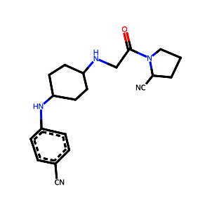 N#Cc1ccc(NC2CCC(NCC(=O)N3CCCC3C#N)CC2)cc1